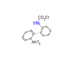 CCOC(=O)Nc1ccccc1-c1ccccc1[N+](=O)[O-]